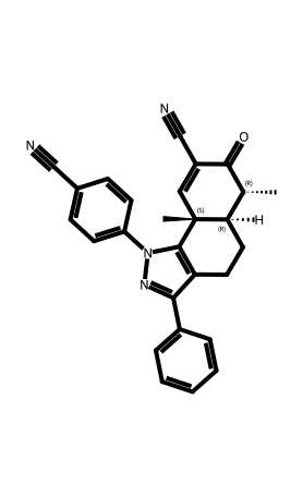 C[C@H]1C(=O)C(C#N)=C[C@@]2(C)c3c(c(-c4ccccc4)nn3-c3ccc(C#N)cc3)CC[C@H]12